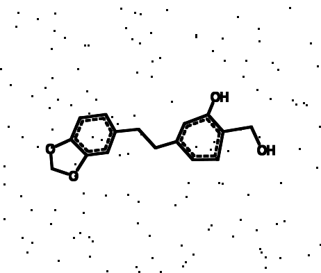 OCc1ccc(CCc2ccc3c(c2)OCO3)cc1O